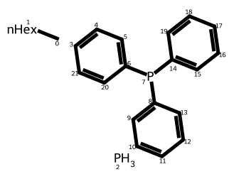 CCCCCCC.P.c1ccc(P(c2ccccc2)c2ccccc2)cc1